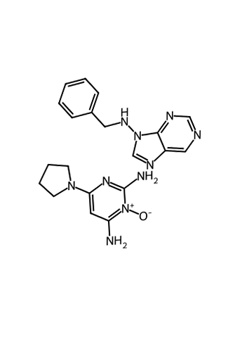 Nc1cc(N2CCCC2)nc(N)[n+]1[O-].c1ccc(CNn2cnc3cncnc32)cc1